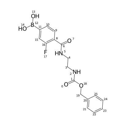 O=C(NCCNC(=O)c1ccc(B(O)O)cc1F)OCc1ccccc1